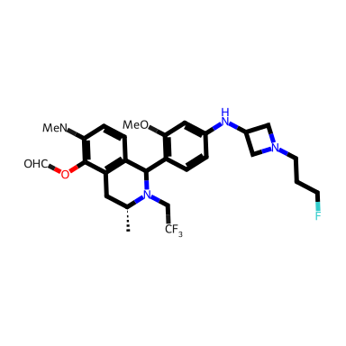 CNc1ccc2c(c1OC=O)C[C@@H](C)N(CC(F)(F)F)C2c1ccc(NC2CN(CCCF)C2)cc1OC